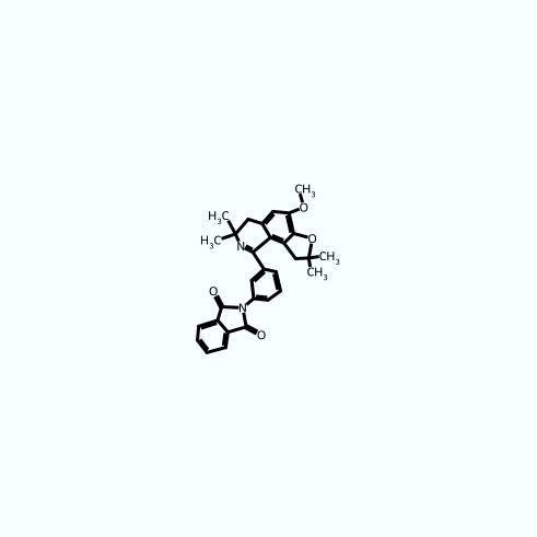 COc1cc2c(c3c1OC(C)(C)C3)C(c1cccc(N3C(=O)c4ccccc4C3=O)c1)=NC(C)(C)C2